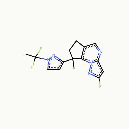 CC1(c2ccn(C(C)(F)F)n2)CCc2cnc3cc(F)nn3c21